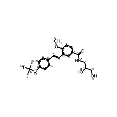 COc1ccc(C(=O)NCC(O)CO)cc1/C=C/c1ccc(OC(F)(F)F)cc1